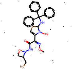 CON=C(C(=O)NN1OCC1CS)C1=CSC(NC(c2ccccc2)(c2ccccc2)c2ccccc2)N1O